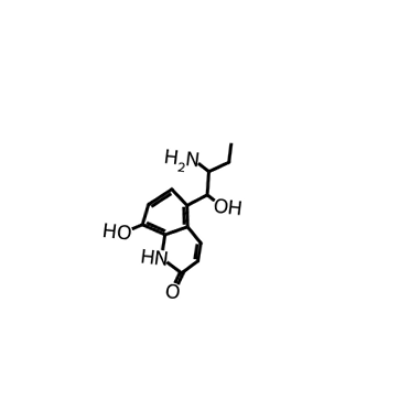 CCC(N)C(O)c1ccc(O)c2[nH]c(=O)ccc12